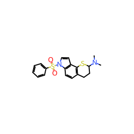 CN(C)C1CCc2ccc3c(ccn3S(=O)(=O)c3ccccc3)c2S1